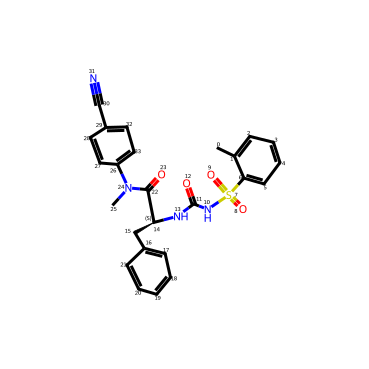 Cc1ccccc1S(=O)(=O)NC(=O)N[C@@H](Cc1ccccc1)C(=O)N(C)c1ccc(C#N)cc1